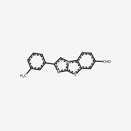 Cc1cccc(-c2cn3c(n2)sc2cc(C=O)ccc23)c1